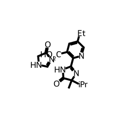 CCc1cnc(C2=NC(C)(C(C)C)C(=O)N2)c(C(=O)O)c1.O=C1CNC=N1